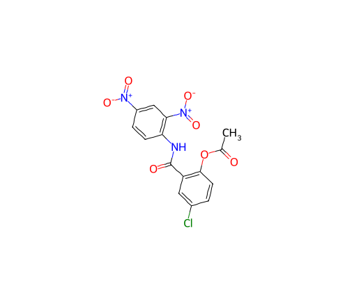 CC(=O)Oc1ccc(Cl)cc1C(=O)Nc1ccc([N+](=O)[O-])cc1[N+](=O)[O-]